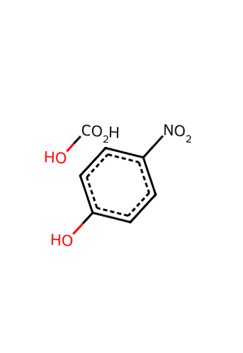 O=C(O)O.O=[N+]([O-])c1ccc(O)cc1